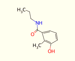 CCCNC(=O)c1cccc(O)c1C